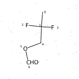 CC(F)(F)CO[C]=O